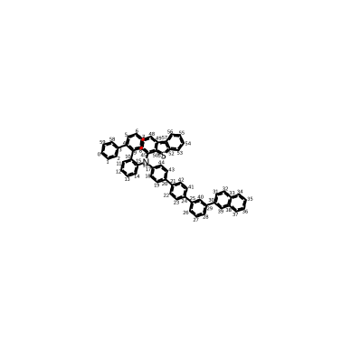 c1ccc(-c2ccccc2-c2ccccc2N(c2ccc(-c3ccc(-c4cccc(-c5ccc6ccccc6c5)c4)cc3)cc2)c2cccc3c2sc2ccccc23)cc1